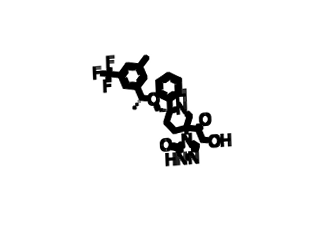 Cc1cc([C@@H](C)OC[C@@]2(c3ccccc3)CC[C@](C(=O)CO)(n3cn[nH]c3=O)CN2)cc(C(F)(F)F)c1